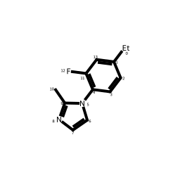 CCc1ccc(-n2ccnc2C)c(F)c1